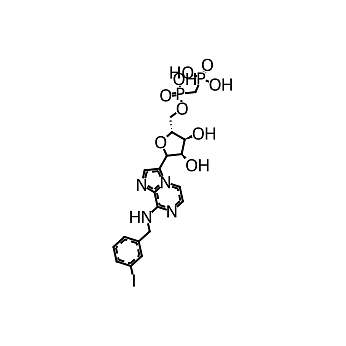 O=P(O)(O)CP(=O)(O)OC[C@H]1OC(c2cnc3c(NCc4cccc(I)c4)nccn23)[C@H](O)[C@@H]1O